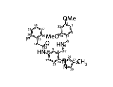 COc1ccc(CNSc2cc(NC(=O)Cc3ccccc3F)ccc2-n2cc(C)cn2)c(OC)c1